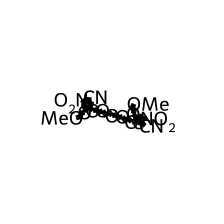 COCCOc1cc([N+](=O)[O-])c(C#N)cc1OCCOCCOCCOCCOc1cc(C#N)c([N+](=O)[O-])cc1OCCOC